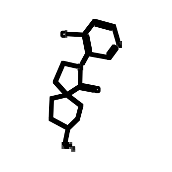 NC1CCC2(CC1)CCN(c1cnccc1Cl)C2=O